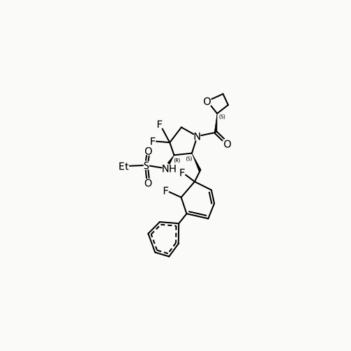 CCS(=O)(=O)N[C@@H]1[C@H](CC2(F)C=CC=C(c3ccccc3)C2F)N(C(=O)[C@@H]2CCO2)CC1(F)F